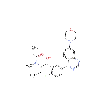 C=CC(=O)N(C)/C(=C\C)C(O)c1cc(-c2ncnc3cc(N4CCOCC4)ccc23)ccc1F